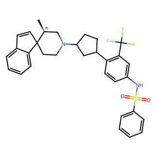 C[C@H]1CN(C2CCC(c3ccc(NS(=O)(=O)c4ccccc4)cc3C(F)(F)F)C2)CCC12C=Cc1ccccc12